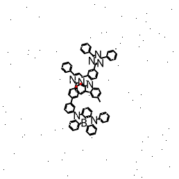 Cc1ccc2c(c1)c1ccccc1n2-c1ccc(-c2nc(-c3ccccc3)nc(-c3ccccc3)n2)cc1-c1cc(-c2ccccc2)nc(-c2ccc(-c3cccc(N4c5ccccc5B5c6ccccc6N(c6ccccc6)c6cccc4c65)c3)cc2)n1